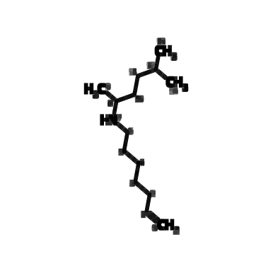 C=CCCCCCNC(C)CCC(C)C